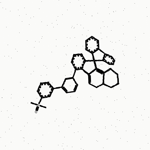 CP(C)(=O)c1cccc(C2=CC=CC(c3cccc4c3C3=CCC5CCCCC5=C3C43c4ccccc4-c4ccccc43)C2)c1